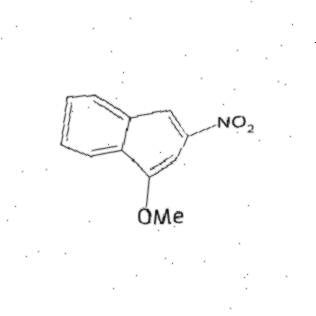 COc1cc([N+](=O)[O-])cc2ccccc12